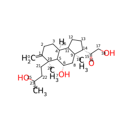 C=C1CC[C@@H]2C([C@@H](O)C[C@@]3(C)C2CC[C@@H]3C(=O)CO)[C@@]1(C)CCC(C)O